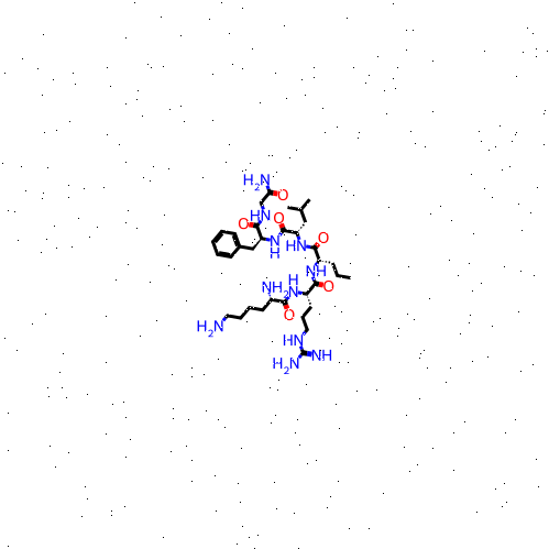 CCC[C@H](NC(=O)[C@H](CCCNC(=N)N)NC(=O)[C@@H](N)CCCCN)C(=O)N[C@@H](CC(C)C)C(=O)N[C@@H](Cc1ccccc1)C(=O)NCC(N)=O